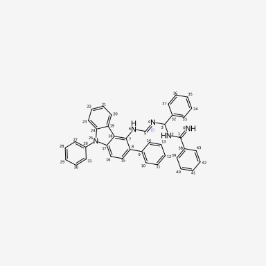 N=C(NC(/N=C/Nc1c(-c2ccccc2)ccc2c1c1ccccc1n2-c1ccccc1)c1ccccc1)c1ccccc1